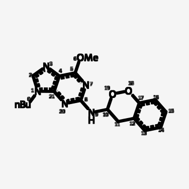 CCCCn1cnc2c(OC)nc(NC3Cc4ccccc4OO3)nc21